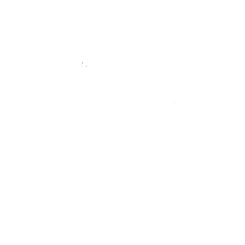 CN(C)Cc1cc(Cl)ccc1Sc1cc(Cl)ccc1Cl.Cl